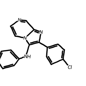 Clc1ccc(-c2nc3cnccn3c2Nc2ccccc2)cc1